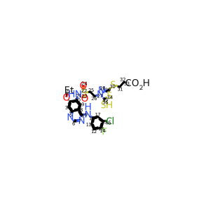 CCOc1cc2ncnc(Nc3ccc(F)c(Cl)c3)c2cc1NS(=O)(=O)CCN1N=C(SCCC(=O)O)SC1S